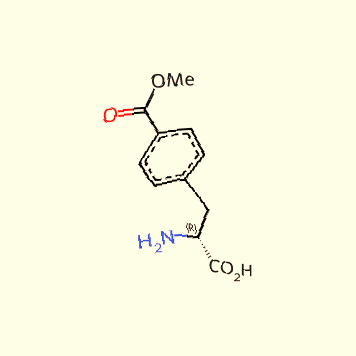 COC(=O)c1ccc(C[C@@H](N)C(=O)O)cc1